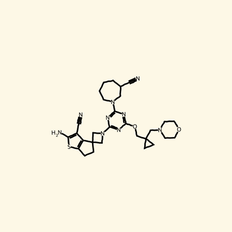 N#Cc1c(N)sc2c1C1(CC2)CN(c2nc(OCC3(CN4CCOCC4)CC3)nc(N3CCCCC(C#N)C3)n2)C1